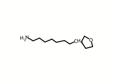 C1CCOC1.CCCCCCCCN